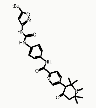 CN1C(C)(C)CC(=O)C(c2ccc(C(=O)Nc3ccc(NC(=O)Nc4cc(C(C)(C)C)on4)cc3)nc2)C1(C)C